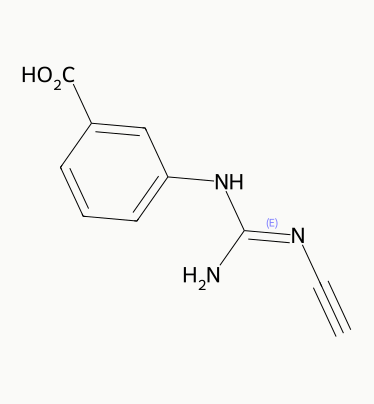 C#C/N=C(\N)Nc1cccc(C(=O)O)c1